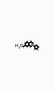 CCc1ccc2c(c1)CN(C1CCCC1)CC2